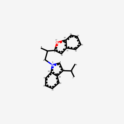 CC(C)c1cn(CC(C)c2cc3ccccc3o2)c2ccccc12